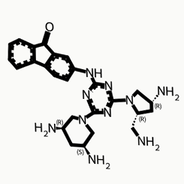 NC[C@H]1C[C@@H](N)CN1c1nc(Nc2ccc3c(c2)C(=O)c2ccccc2-3)nc(N2C[C@H](N)C[C@H](N)C2)n1